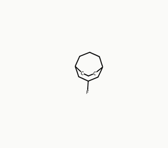 FC1CC2CCCC(CCC2)C1